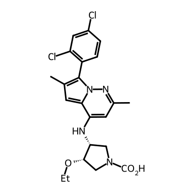 CCO[C@H]1CN(C(=O)O)C[C@H]1Nc1cc(C)nn2c(-c3ccc(Cl)cc3Cl)c(C)cc12